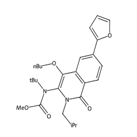 CCCCOc1c(N(C(=O)OC)C(C)(C)C)n(CC(C)C)c(=O)c2ccc(-c3ccco3)cc12